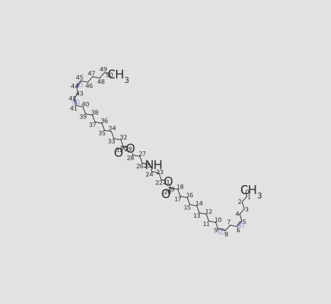 CCCCC/C=C\C/C=C\CCCCCCCCCC(=O)OCCCNCCCOC(=O)CCCCCCCCC/C=C\C/C=C\CCCCC